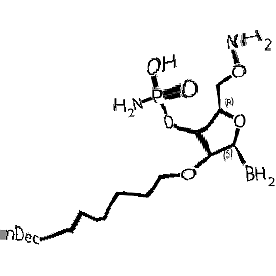 B[C@@H]1O[C@H](CON)C(OP(N)(=O)O)C1OCCCCCCCCCCCCCCCC